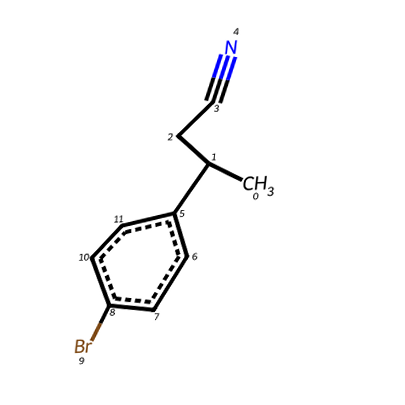 CC(CC#N)c1ccc(Br)cc1